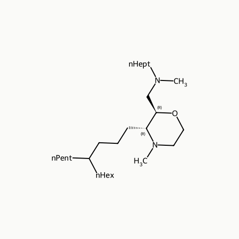 CCCCCCCN(C)C[C@H]1OCCN(C)[C@@H]1CCCC(CCCCC)CCCCCC